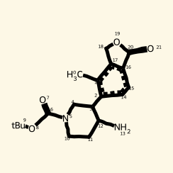 Cc1c(C2CN(C(=O)OC(C)(C)C)CCC2N)ccc2c1COC2=O